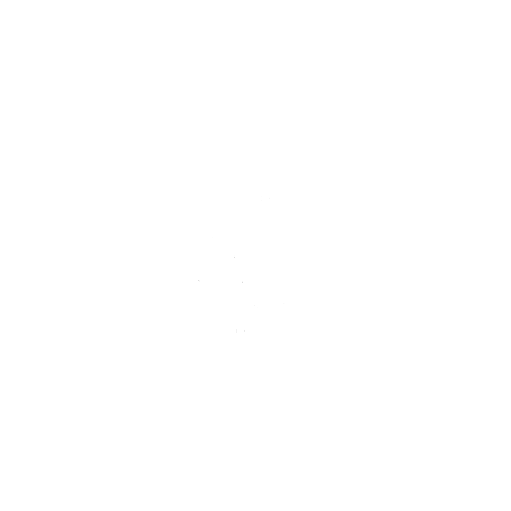 CC1(C)OCC(CC2(C(=O)O)CC3C=CC2C3)O1